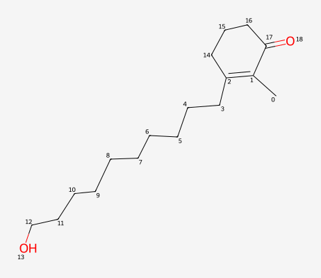 CC1=C(CCCCCCCCCCO)CCCC1=O